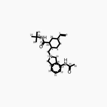 C=CC1CCC(CN2Cc3cccc(NC(C)=O)c3C2)C(C(=O)NC(C)(C)C)C1